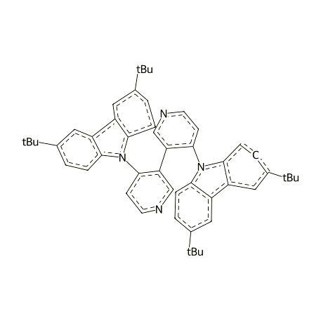 CC(C)(C)c1ccc2c(c1)c1cc(C(C)(C)C)ccc1n2-c1ccncc1-c1cnccc1-n1c2ccc(C(C)(C)C)cc2c2cc(C(C)(C)C)ccc21